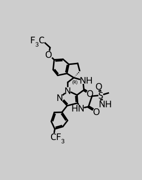 CS(=N)(=O)CC(=O)Nc1c(-c2ccc(C(F)(F)F)cc2)nn2c1C(=O)N[C@@]1(CCc3cc(OCC(F)(F)F)ccc31)C2